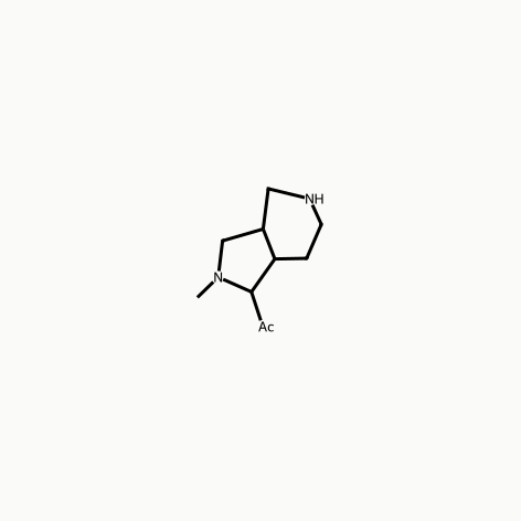 CC(=O)C1C2CCNCC2CN1C